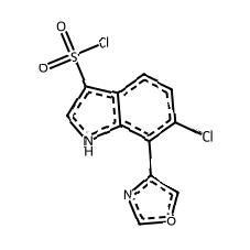 O=S(=O)(Cl)c1c[nH]c2c(-c3cocn3)c(Cl)ccc12